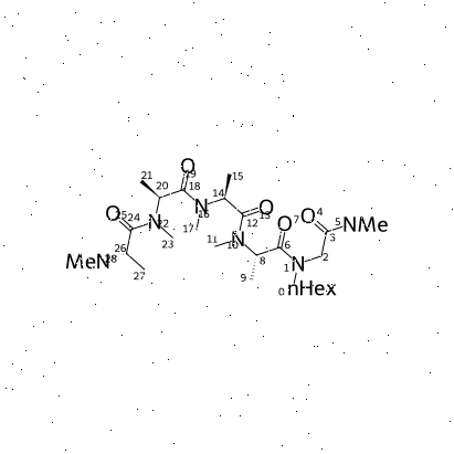 CCCCCCN(CC(=O)NC)C(=O)[C@H](C)N(C)C(=O)[C@H](C)N(C)C(=O)[C@H](C)N(C)C(=O)[C@H](C)NC